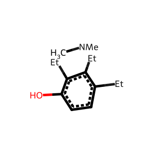 CCc1ccc(O)c(CC)c1CC.CNC